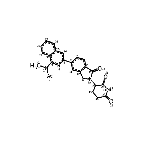 CC(=O)N(C)c1nc(-c2ccc3c(c2)CN(C2CCC(=O)NC2=O)C3=O)cc2ccccc12